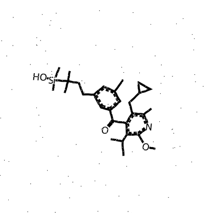 COc1nc(C)c(CC2CC2)c(C(=O)c2cc(C)cc(CCC(C)(C)[Si](C)(C)O)c2)c1C(C)C